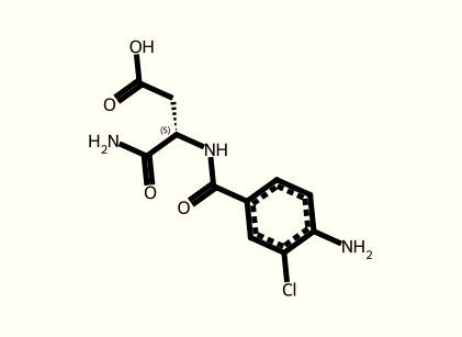 NC(=O)[C@H](CC(=O)O)NC(=O)c1ccc(N)c(Cl)c1